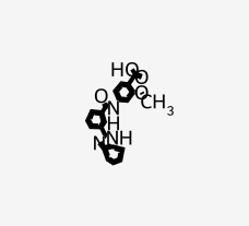 COc1cc(NC(=O)c2cccc(-c3nc4ccccc4[nH]3)c2)ccc1C(=O)O